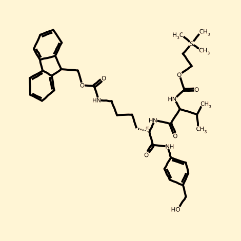 CC(C)C(NC(=O)OCCS(C)(C)C)C(=O)N[C@@H](CCCCNC(=O)OCC1c2ccccc2-c2ccccc21)C(=O)Nc1ccc(CO)cc1